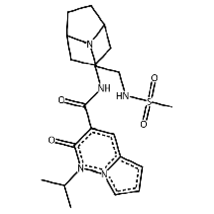 CC(C)n1c(=O)c(C(=O)NC2CC3CCC(C2)N3CCNS(C)(=O)=O)cc2cccn21